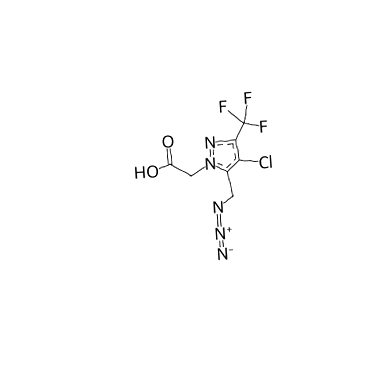 [N-]=[N+]=NCc1c(Cl)c(C(F)(F)F)nn1CC(=O)O